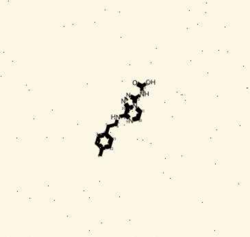 Cc1ccc(CCNc2nccn3c(NC(=O)O)nnc23)cc1